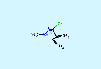 C=CC(=C)/C(Cl)=N\NC